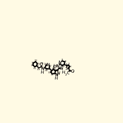 CC(=O)c1ccc(-c2ccnc3[nH]c(-c4n[nH]c5ccc(-c6cncc(NC(=O)Cc7ccccc7)c6)c(F)c45)nc23)s1